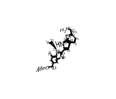 COC(=O)c1cc(F)c2c(c1)nc(-c1cc3ccc([C@@H](C)N)nc3[nH]1)n2C1CC1